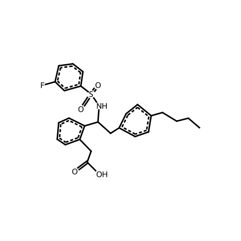 CCCCc1ccc(CC(NS(=O)(=O)c2cccc(F)c2)c2ccccc2CC(=O)O)cc1